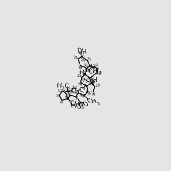 C[C@H](CC(C(=O)O)C1C2(C)CCC(C2)C1(C)C)[C@H]1CC[C@H]2[C@@H]3CC=C4C[C@@H](O)CC[C@]4(C)[C@H]3CC[C@]12C